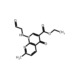 CCOC(=O)c1cn(NCC=O)c2nc(C)ccc2c1=O